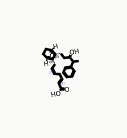 CC(c1ccccc1)C(O)CC[C@@H]1[C@H](C/C=C\C/C=C/C(=O)O)[C@@H]2CC[C@H]1O2